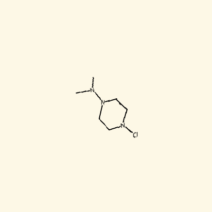 CN(C)N1CCN(Cl)CC1